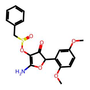 COc1ccc(OC)c(C2OC(N)=C(OS(=O)Cc3ccccc3)C2=O)c1